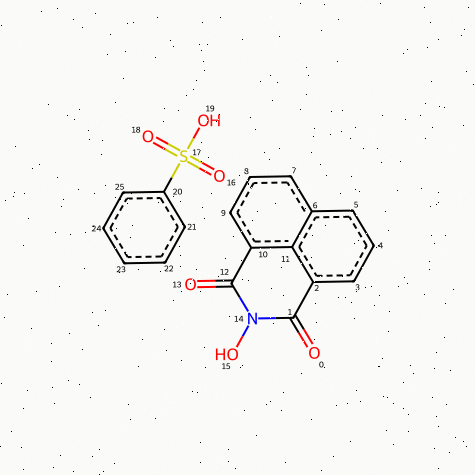 O=C1c2cccc3cccc(c23)C(=O)N1O.O=S(=O)(O)c1ccccc1